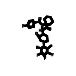 Cc1c(F)c(F)c(F)c(F)c1N1CCC(NC(=O)C2(NC(=O)c3ccc(F)cc3)CCCCC2)C(=O)C1